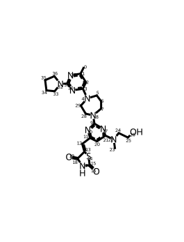 Cc1cc(N2CCCN(c3nc(/C=C4\SC(=O)NC4=O)cc(N(C)CCO)n3)CC2)nc(N2CCCC2)n1